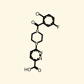 O=C(O)c1ccc(N2CCN(C(=O)c3cc(F)ccc3Cl)CC2)nn1